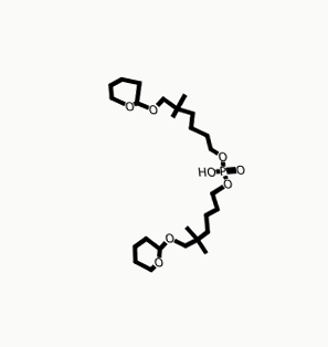 CC(C)(CCCCOP(=O)(O)OCCCCC(C)(C)COC1CCCCO1)COC1CCCCO1